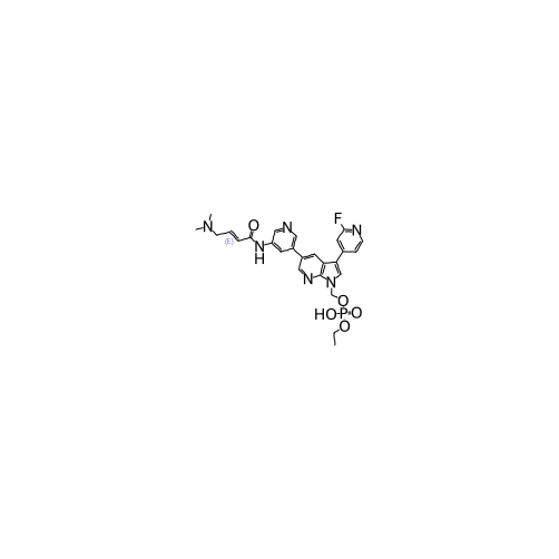 CCOP(=O)(O)OCn1cc(-c2ccnc(F)c2)c2cc(-c3cncc(NC(=O)/C=C/CN(C)C)c3)cnc21